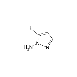 Nn1nccc1I